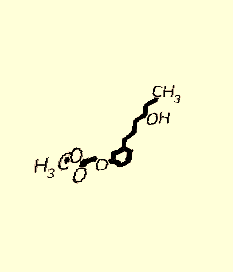 CCCC(O)CCCc1cccc(OCC(=O)OC)c1